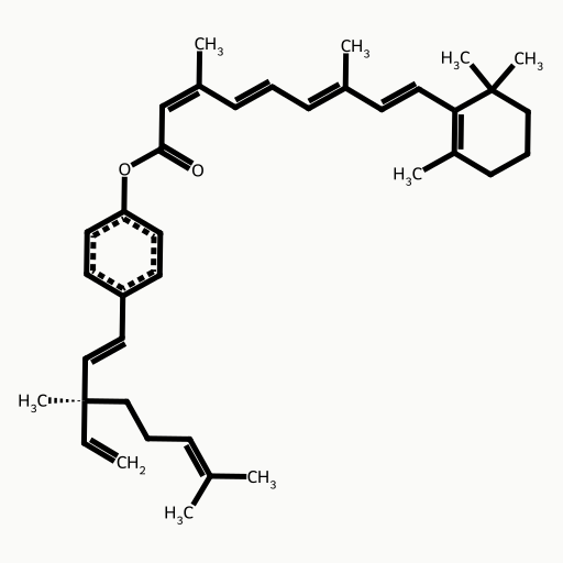 C=C[C@@](C)(/C=C/c1ccc(OC(=O)\C=C(C)/C=C/C=C(C)/C=C/C2=C(C)CCCC2(C)C)cc1)CCC=C(C)C